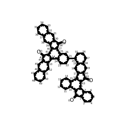 O=c1c2ccccc2c2c1c1ccccc1c1c3cc4c(-c5ccc6c(c5)c5c(=O)c7cc8ccccc8cc7c5c5c(=O)c7cc8ccccc8cc7c65)cccc4cc3c(=O)c12